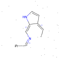 C/C=c1/cc[nH]/c1=C/N=C\C(C)C